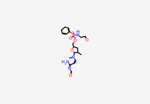 CC1CC(COP(=O)(NCC=O)OC2=CCCC=C2)OC1N(C)/C=C\C(N)=N/C=O